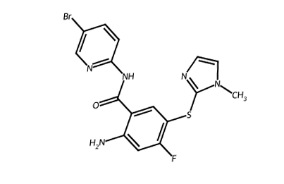 Cn1ccnc1Sc1cc(C(=O)Nc2ccc(Br)cn2)c(N)cc1F